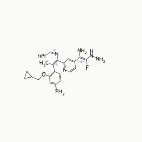 CCC/C=N\C(=C(/C)c1ccc(P)cc1OCC1CC1)c1cc(/C(N)=C(\F)NN)ccn1